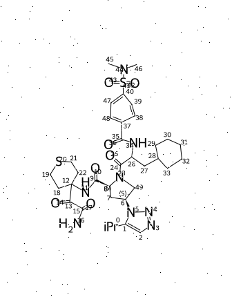 CC(C)c1cnnn1[C@H]1C[C@@H](C(=O)NC2(C(=O)C(N)=O)CCSCC2)N(C(=O)C(CC2CCCCC2)NC(=O)c2ccc(S(=O)(=O)N(C)C)cc2)C1